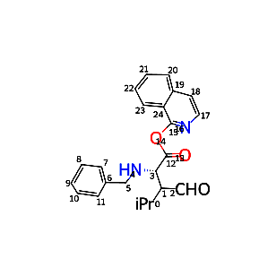 CC(C)C(C=O)[C@H](NCc1ccccc1)C(=O)Oc1nccc2ccccc12